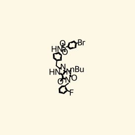 CCCCn1c(=O)n(Cc2ccccc2F)c(=O)c2[nH]c(Cc3ccc(NS(=O)(=O)c4ccc(Br)cc4)cc3)nc21